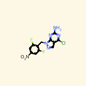 Nc1nc(Cl)c2cnn(Cc3c(F)cc([N+](=O)[O-])cc3F)c2n1